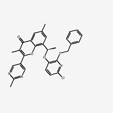 Cc1cc([C@@H](C)Oc2ccc(Cl)nc2SCc2ccccc2)c2oc(-c3cnc(C)nc3)c(C)c(=O)c2c1